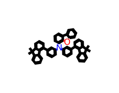 CC1(C)c2ccccc2-c2c(-c3cccc(N(c4cccc(-c5cccc6c5-c5ccccc5C6(C)C)c4)c4cccc5c4oc4ccccc45)c3)cccc21